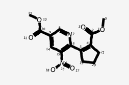 COC(=O)C1=C(c2ncc(C(=O)OC)cc2[N+](=O)[O-])CCC1